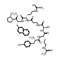 CC(C)[C@@H](NC(=O)[C@H](CCCNC(=N)N)NC(=O)[C@@H](N)Cc1ccc(O)cc1)C(=O)NCCC(=O)N[C@@H](CCCNC(=N)N)C(=O)N[C@H](Cc1ccc2ccccc2c1)C(=O)N1CCC[C@H]1C(=O)O